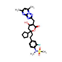 Cc1cc(C)n2nc(CC3=C(O)CC(CCc4ccc(N(C)S(C)(=O)=O)c(F)c4)(C4CCCC4)OC3=O)nc2n1